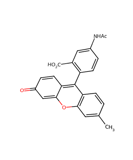 CC(=O)Nc1ccc(-c2c3ccc(=O)cc-3oc3cc(C)ccc23)c(C(=O)O)c1